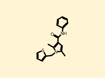 Cc1cc(C(=O)Nc2ccccc2)c(C)n1Cc1cccs1